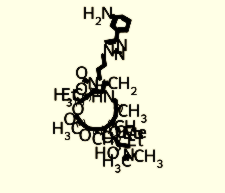 C=CC1NC[C@H](C)C[C@@](C)(OC)[C@H](O[C@H](OCC)C(O)C(CC)N(C)C)[C@@H](C)C(=O)[C@@H](C)C(=O)O[C@H](CC)[C@@]2(C)OC(=O)N(CCCCn3cc(-c4cccc(N)c4)nn3)[C@H]12